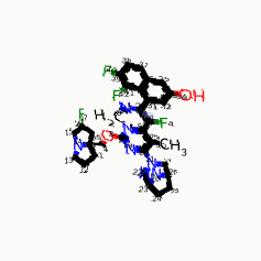 C=N/C(=C(/F)c1nc(OC[C@@]23CCCN2C[C@H](F)C3)nc(N2CC3CCC(C2)N3)c1C)c1cc(O)cc2ccc(F)c(F)c12